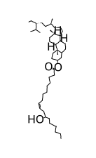 CCCCCC[C@@H](O)C/C=C\CCCCCCCC(=O)OC1CC[C@@]2(C)C(CC[C@H]3[C@@H]4CC[C@H]([C@H](C)CC[C@@H](CC)C(C)C)[C@@]4(C)CC[C@@H]32)C1